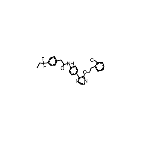 CCC(F)(F)c1ccc(CC(=O)Nc2ccc(-c3nccnc3OCCc3ccccc3Cl)cc2)cc1